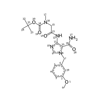 COc1cccc(Cn2cnc(NC(=O)CN(C)C(=O)OC(C)(C)C)c2C(N)=O)c1